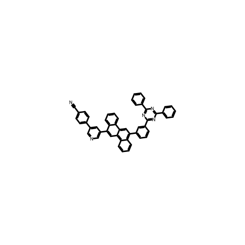 N#Cc1ccc(-c2cncc(-c3cc4c5ccccc5c(-c5cccc(-c6nc(-c7ccccc7)nc(-c7ccccc7)n6)c5)cc4c4ccccc34)c2)cc1